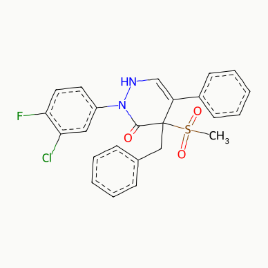 CS(=O)(=O)C1(Cc2ccccc2)C(=O)N(c2ccc(F)c(Cl)c2)NC=C1c1ccccc1